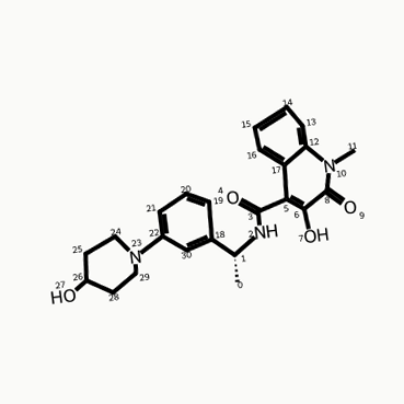 C[C@@H](NC(=O)c1c(O)c(=O)n(C)c2ccccc12)c1cccc(N2CCC(O)CC2)c1